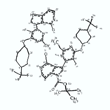 Cc1nc(OC2CCC(C(F)(F)F)CC2)c(F)c(-c2c[nH]c3ccnc(Cl)c23)n1.Cc1nc(OC2CCC(C(F)(F)F)CC2)c(F)c(-c2cn(C(=O)OC(C)(C)C)c3ccnc(Cl)c23)n1